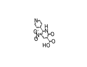 O=C(O)c1cc([N+](=O)[O-])c(-c2ccncc2)[nH]c1=O